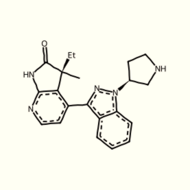 CC[C@]1(C)C(=O)Nc2nccc(-c3nn([C@H]4CCNC4)c4ccccc34)c21